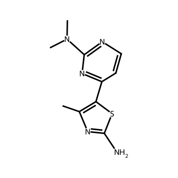 Cc1nc(N)sc1-c1ccnc(N(C)C)n1